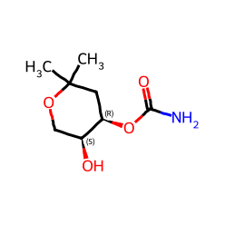 CC1(C)C[C@@H](OC(N)=O)[C@@H](O)CO1